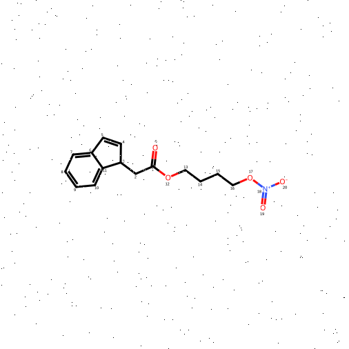 O=C(CC1C=Cc2ccccc21)OCCCCO[N+](=O)[O-]